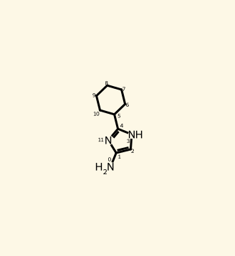 Nc1c[nH]c(C2CCCCC2)n1